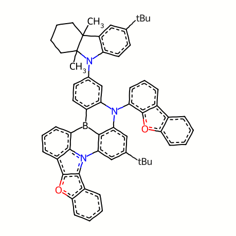 CC(C)(C)c1cc2c3c(c1)-n1c4c(cccc4c4oc5ccccc5c41)B3c1ccc(N3c4ccc(C(C)(C)C)cc4C4(C)CCCCC34C)cc1N2c1cccc2c1oc1ccccc12